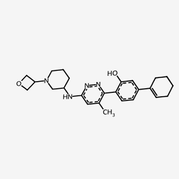 Cc1cc(NC2CCCN(C3COC3)C2)nnc1-c1ccc(C2=CCCCC2)cc1O